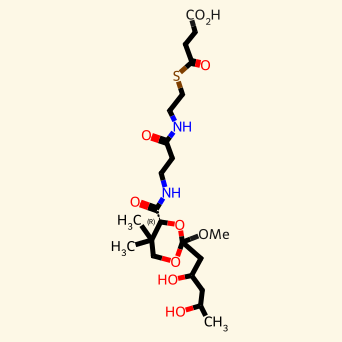 COC1(CC(O)CC(C)O)OCC(C)(C)[C@H](C(=O)NCCC(=O)NCCSC(=O)CCC(=O)O)O1